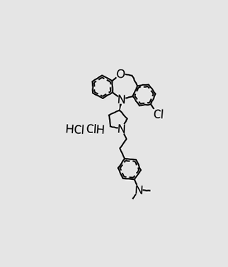 CN(C)c1ccc(CCN2CC[C@@H](N3c4cc(Cl)ccc4COc4ccccc43)C2)cc1.Cl.Cl